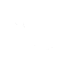 CC(C)(C)OCCC(C)(C)OC(=O)CCn1ccnc1